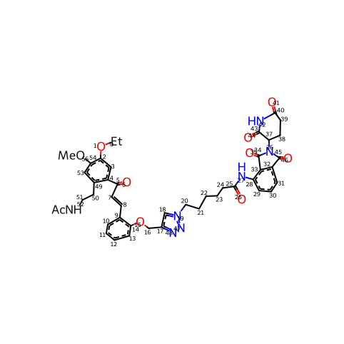 CCOc1cc(C(=O)/C=C/c2ccccc2OCc2cn(CCCCCC(=O)Nc3cccc4c3C(=O)N(C3CCC(=O)NC3=O)C4=O)nn2)c(CCNC(C)=O)cc1OC